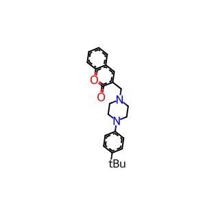 CC(C)(C)c1ccc(N2CCN(Cc3cc4ccccc4oc3=O)CC2)cc1